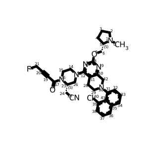 CN1CCC[C@H]1COc1nc2c(c(N3CCN(C(=O)C#CCF)[C@@H](CC#N)C3)n1)CCN(c1cccc3cccc(Cl)c13)C2